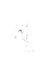 CC(C)[C@]1(C)C[C@@H](OC(=O)NC(=O)[C@H]2CN3CC[C@@H]2C3)[C@@]2(C)C3C(=O)CCC3(CC[C@H]2C)[C@@H](C)[C@@H]1O